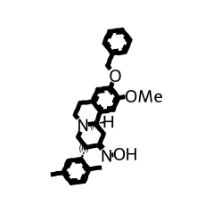 COc1cc2c(cc1OCc1ccccc1)CCN1C[C@@H](c3cc(C)ccc3C)C(=NO)C[C@H]21